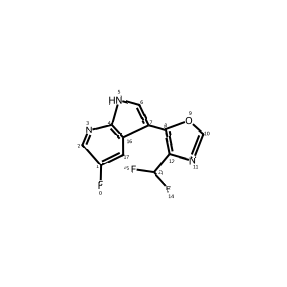 Fc1cnc2[nH]cc(-c3ocnc3C(F)F)c2c1